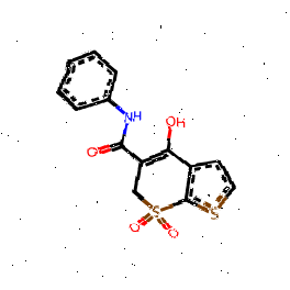 O=C(Nc1ccccc1)C1=C(O)c2ccsc2S(=O)(=O)C1